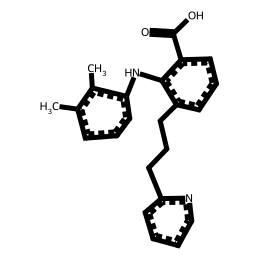 Cc1cccc(Nc2c(CCCc3ccccn3)cccc2C(=O)O)c1C